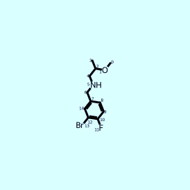 COC(C)CNCc1ccc(F)c(Br)c1